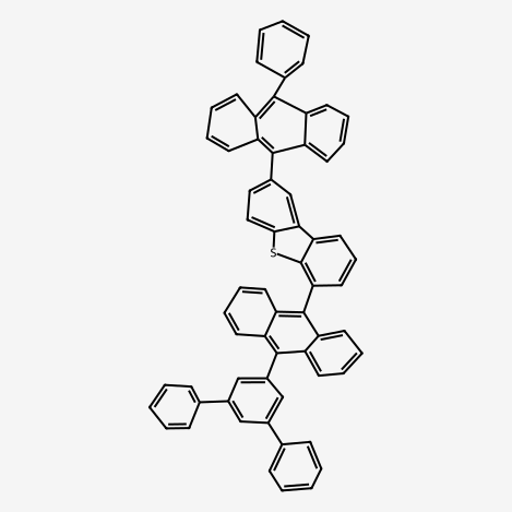 c1ccc(-c2cc(-c3ccccc3)cc(-c3c4ccccc4c(-c4cccc5c4sc4ccc(-c6c7ccccc7c(-c7ccccc7)c7ccccc67)cc45)c4ccccc34)c2)cc1